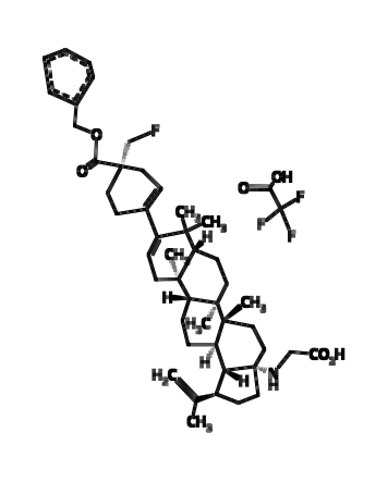 C=C(C)[C@@H]1CC[C@]2(NCC(=O)O)CC[C@]3(C)[C@H](CC[C@@H]4[C@@]5(C)CC=C(C6=CC[C@](CF)(C(=O)OCc7ccccc7)CC6)C(C)(C)[C@@H]5CC[C@]43C)[C@@H]12.O=C(O)C(F)(F)F